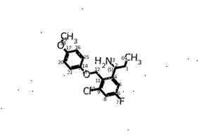 CC[C@H](N)c1cc(F)cc(Cl)c1COc1ccc(OC)cc1